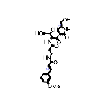 C#CC(C)[C@H](NC(=O)CCNC(=O)/C=C/c1cccc(OC)c1)C(=O)[C@H]1C/C(=C/O)NC1=O